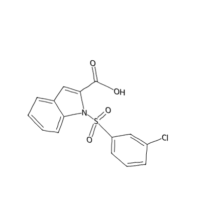 O=C(O)c1cc2ccccc2n1S(=O)(=O)c1cccc(Cl)c1